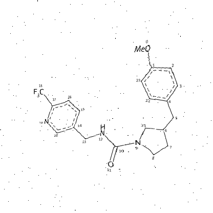 COc1ccc(CC2CCN(C(=O)NCc3ccc(C(F)(F)F)nc3)C2)cc1